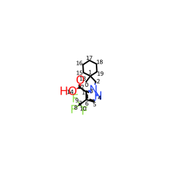 CC1(Cn2ncc(C(F)(F)F)c2C(=O)O)CCCCC1